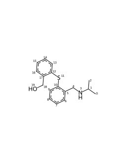 CC(C)NCc1ccccc1Sc1ccccc1CO